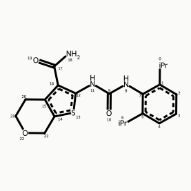 CC(C)c1cccc(C(C)C)c1NC(=O)Nc1sc2c(c1C(N)=O)CCOC2